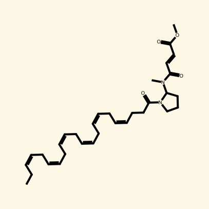 CC/C=C\C/C=C\C/C=C\C/C=C\C/C=C\C/C=C\CCC(=O)N1CCCC1N(C)C(=O)/C=C/C(=O)OC